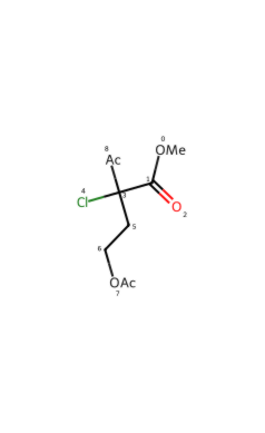 COC(=O)C(Cl)(CCOC(C)=O)C(C)=O